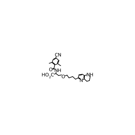 Cc1cc(C#N)cc(C)c1C(=O)NC(CCOCCCCc1ccc2c(n1)CCCN2)C(=O)O